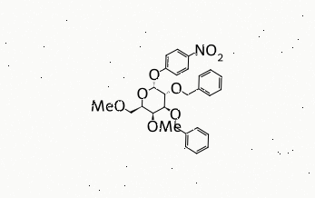 COC[C@H]1O[C@H](Oc2ccc([N+](=O)[O-])cc2)[C@H](OCc2ccccc2)[C@@H](OCc2ccccc2)[C@H]1OC